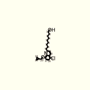 OCCCCCCCCCc1ccc2c(Cl)ccc(OCC3CC3)c2n1